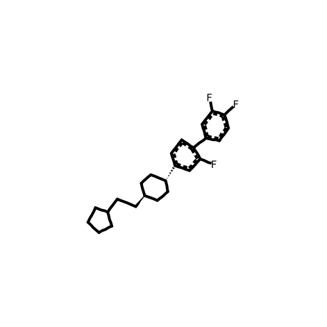 Fc1ccc(-c2ccc([C@H]3CC[C@H](CCC4CCCC4)CC3)cc2F)cc1F